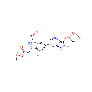 CC(=O)c1nn(CC(=O)OC(C)(C)C)c2c(C)cc(-c3cnc4c(OC5CCCCO5)c(C)nn4c3)cc12